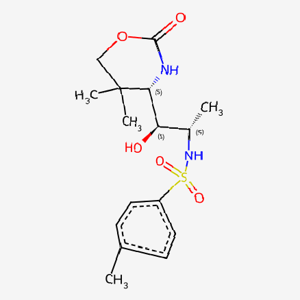 Cc1ccc(S(=O)(=O)N[C@@H](C)[C@@H](O)[C@H]2NC(=O)OCC2(C)C)cc1